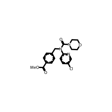 COC(=O)c1ccc(CN(C(=O)N2CCOCC2)c2ccc(Cl)cn2)cc1